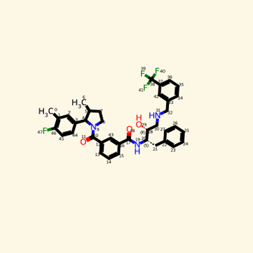 Cc1cc(C2C(C)CCN2C(=O)c2cccc(C(=O)N[C@@H](Cc3ccccc3)[C@H](O)CNCc3cccc(C(F)(F)F)c3)c2)ccc1F